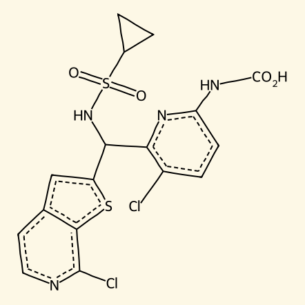 O=C(O)Nc1ccc(Cl)c(C(NS(=O)(=O)C2CC2)c2cc3ccnc(Cl)c3s2)n1